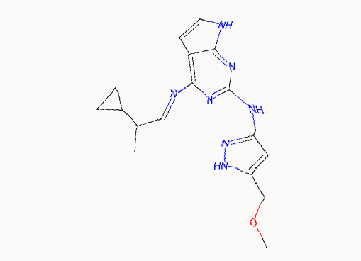 COCc1cc(Nc2nc(/N=C/C(C)C3CC3)c3cc[nH]c3n2)n[nH]1